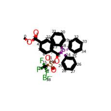 COC(=O)c1ccc(C(OS(=O)(=O)C(F)(F)F)[P+](c2ccccc2)(c2ccccc2)c2ccccc2)cc1.[Br-]